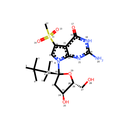 CC(C)(C)[Si](C)(C)[C@]1(n2cc(S(C)(=O)=O)c3c(=O)[nH]c(N)nc32)C[C@H](O)[C@@H](CO)O1